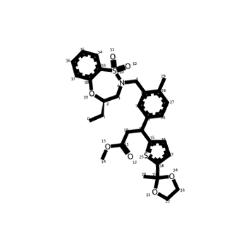 CC[C@@H]1CN(Cc2cc(C(CC(=O)OC)c3ccc(C4(C)OCCO4)s3)ccc2C)S(=O)(=O)c2ccccc2O1